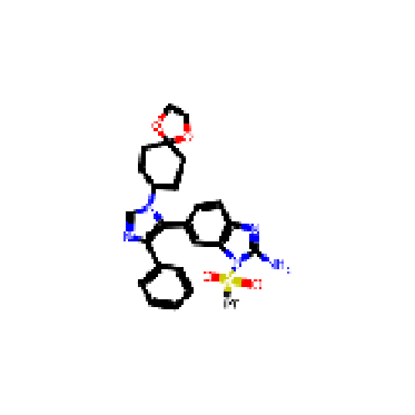 CC(C)S(=O)(=O)n1c(N)nc2ccc(-c3c(-c4ccccc4)ncn3C3CCC4(CC3)OCCO4)cc21